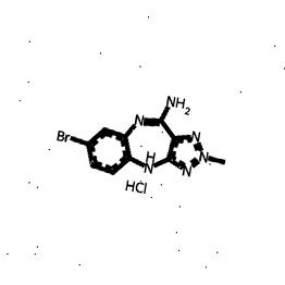 Cl.Cn1nc2c(n1)C(N)=Nc1cc(Br)ccc1N2